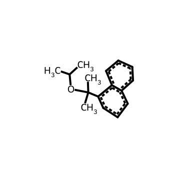 CC(C)OC(C)(C)c1cccc2ccccc12